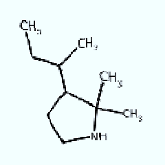 CCC(C)C1CCNC1(C)C